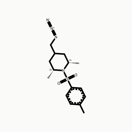 [CH][C@@H]1CC(CN=[N+]=[N-])C[C@H]([CH])N1S(=O)(=O)c1ccc(C)cc1